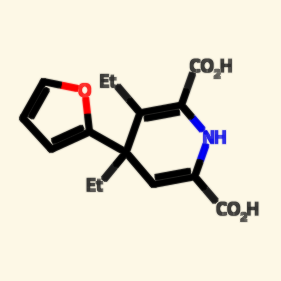 CCC1=C(C(=O)O)NC(C(=O)O)=CC1(CC)c1ccco1